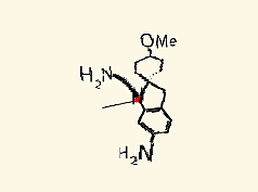 CO[C@H]1CC[C@]2(CC1)Cc1ccc(N)cc1C21N=C(C)C(N)=N1